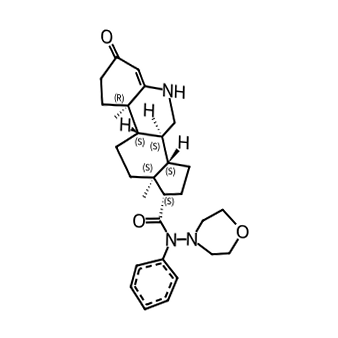 C[C@]12CC[C@H]3[C@@H](CNC4=CC(=O)CC[C@@]43C)[C@@H]1CC[C@@H]2C(=O)N(c1ccccc1)N1CCOCC1